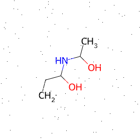 [CH2]CC(O)NC(C)O